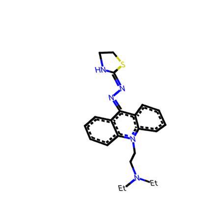 CCN(CC)CCn1c2ccccc2c(=NN=C2NCCS2)c2ccccc21